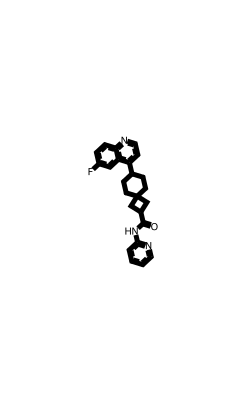 O=C(Nc1ccccn1)C1CC2(CCC(c3ccnc4ccc(F)cc34)CC2)C1